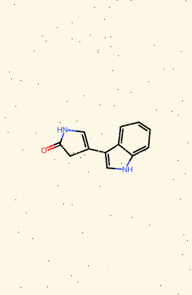 O=C1CC(c2c[nH]c3ccccc23)=CN1